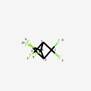 FC1(F)[C]2C(F)(F)C1C2(F)F